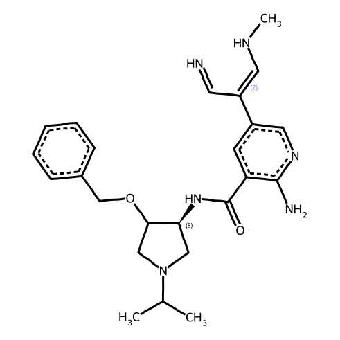 CN/C=C(\C=N)c1cnc(N)c(C(=O)N[C@H]2CN(C(C)C)CC2OCc2ccccc2)c1